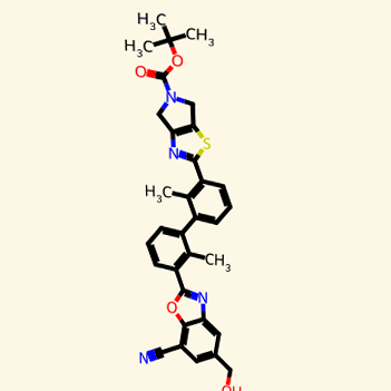 Cc1c(-c2nc3cc(CO)cc(C#N)c3o2)cccc1-c1cccc(-c2nc3c(s2)CN(C(=O)OC(C)(C)C)C3)c1C